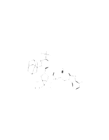 CC1(C)[C@@H]2[C@@H](C(=O)N[C@H](C#N)C[C@H]3C(=O)Nc4c(F)cccc43)N(C(=O)C(NC(=O)C(F)(F)F)C34CC5CC(CC(C5)C3)C4)C[C@@H]21